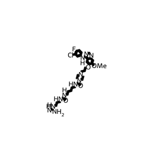 COc1cc2ncnc(Nc3ccc(F)c(Cl)c3)c2cc1OCCCN1CCN(C(=O)NCCCCCNC(=O)NCCCNC(=N)N)CC1